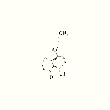 CCCOc1ccc(Cl)c2c1OCCC2=O